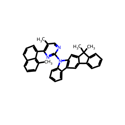 Cc1cnc(-n2c3ccccc3c3cc4c(cc32)C(C)(C)c2ccccc2-4)nc1-c1cccc2cccc(C)c12